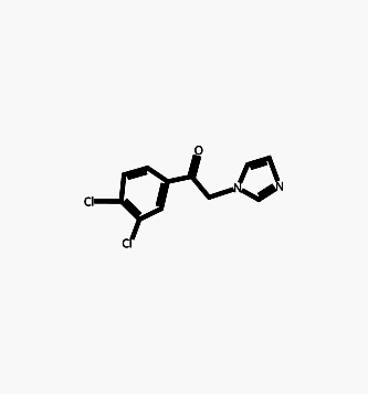 O=C(Cn1ccnc1)c1ccc(Cl)c(Cl)c1